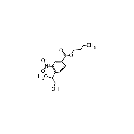 CCCCOC(=O)c1ccc(C(C)CO)c([N+](=O)[O-])c1